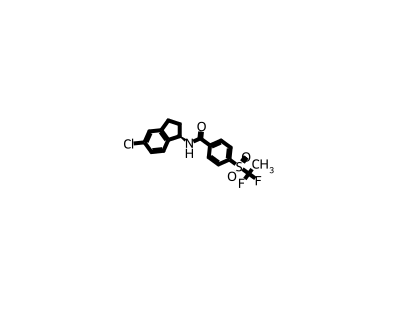 CC(F)(F)S(=O)(=O)c1ccc(C(=O)N[C@@H]2CCc3cc(Cl)ccc32)cc1